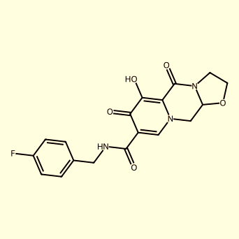 O=C(NCc1ccc(F)cc1)c1cn2c(c(O)c1=O)C(=O)N1CCOC1C2